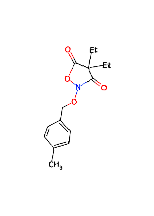 CCC1(CC)C(=O)ON(OCc2ccc(C)cc2)C1=O